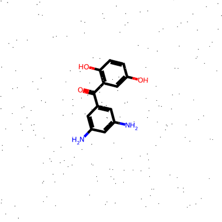 Nc1cc(N)cc(C(=O)c2cc(O)ccc2O)c1